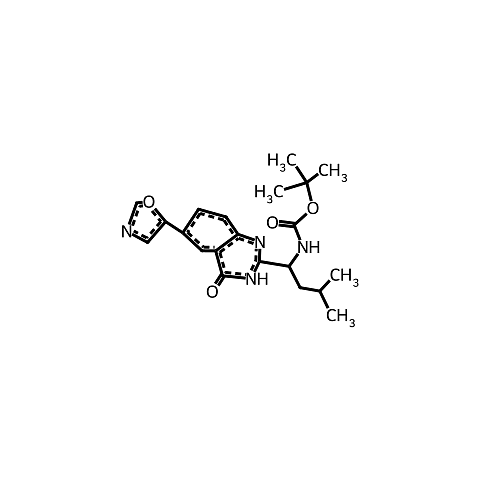 CC(C)CC(NC(=O)OC(C)(C)C)c1nc2ccc(-c3cnco3)cc2c(=O)[nH]1